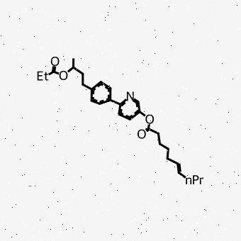 CCCC=CCCCCC(=O)Oc1ccc(-c2ccc(CCC(C)OC(=O)CC)cc2)nc1